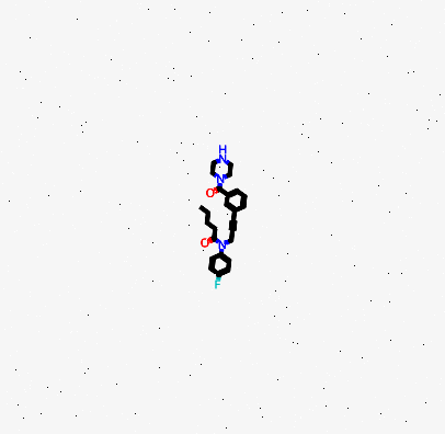 CCCCC(=O)N(CC#Cc1cccc(C(=O)N2CCNCC2)c1)c1ccc(F)cc1